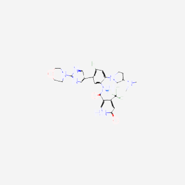 CN(C)[C@H]1CCN(c2cc(F)c(-c3cnc(N4CCOCC4)nc3)cc2NC(=O)c2c[nH]c(=O)cc2C(F)(F)F)C1